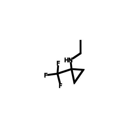 CCNC1(C(F)(F)F)CC1